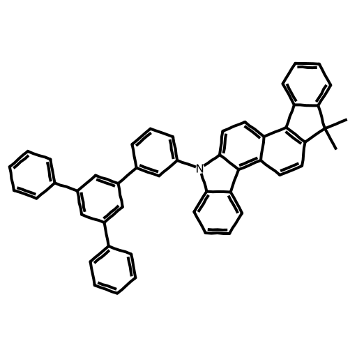 CC1(C)c2ccccc2-c2c1ccc1c2ccc2c1c1ccccc1n2-c1cccc(-c2cc(-c3ccccc3)cc(-c3ccccc3)c2)c1